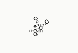 O=C(COc1ccccc1)NC(c1cccc(OCc2ccccc2)c1)c1cc(Cl)c2cccnc2c1O